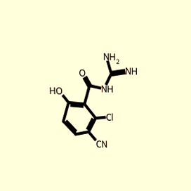 N#Cc1ccc(O)c(C(=O)NC(=N)N)c1Cl